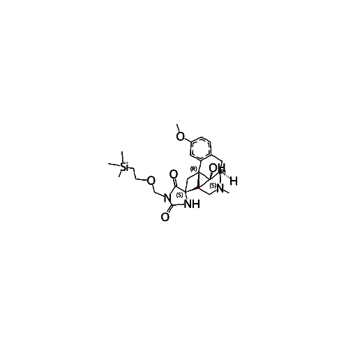 COc1ccc2c(c1)[C@]13CCN(C)[C@H](C2)[C@]1(O)CC[C@@]1(C3)NC(=O)N(COCC[Si](C)(C)C)C1=O